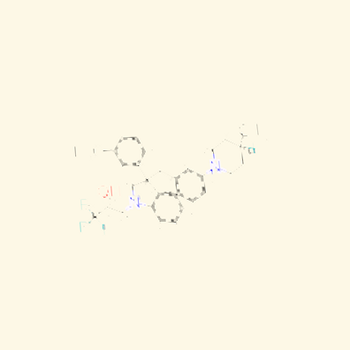 Cc1cccc(C2(Cc3cccc(N4CCC(C)(F)CC4)c3)CN(C[C@@H](O)C(F)(F)F)c3ccccc32)c1